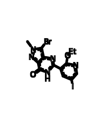 CCOc1ncc(I)cc1-c1nc2c(Br)n(C)nc2c(=O)[nH]1